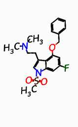 CN(C)CCc1cn(S(C)(=O)=O)c2cc(F)cc(OCc3ccccc3)c12